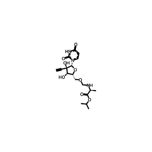 C#C[C@@]1(O)[C@H](O)[C@@H](COCN[C@@H](C)C(=O)OC(C)C)O[C@H]1n1ccc(=O)[nH]c1=O